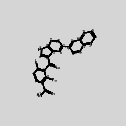 NC(=O)c1ccc(F)c(C(=O)c2c[nH]c3ncc(-c4ccc5nccnc5c4)cc23)c1F